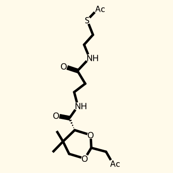 CC(=O)CC1OCC(C)(C)[C@H](C(=O)NCCC(=O)NCCSC(C)=O)O1